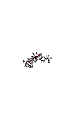 Cn1nc(OC(=O)N2[C@@H]3CC[C@@H]2CC(Oc2ccn(-c4ccc(S(C)(=O)=O)cc4)c(=O)c2)C3)cc1C(F)(F)F